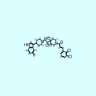 O=C(C=Cc1cccc(Cl)c1Cl)N1CCC(O)(C(O)CN2CCC(c3c[nH]c4ccc(F)cc34)CC2)CC1